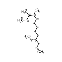 C=CCC(=CC)CCCCCC(C)=C(C)CC